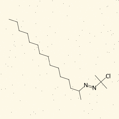 CCCCCCCCCCCCCC(C)N=NC(C)(C)Cl